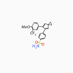 COc1ccc(C2=CC3(C=C2c2ccc(S(N)(=O)=O)cc2)CC3)cc1C(F)(F)F